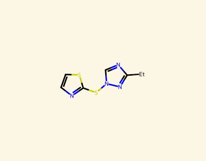 CCc1ncn(Sc2nccs2)n1